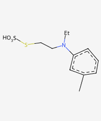 CCN(CCSS(=O)(=O)O)c1cccc(C)c1